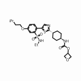 CCNS(=O)(=O)c1cc(OCCC(C)C)ccc1-c1cnc([C@H]2CC[C@H](NC(=O)OC3COC3)CC2)s1